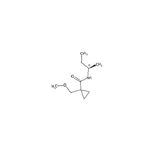 CC[C@@H](C)NC(=O)C1(COC)CC1